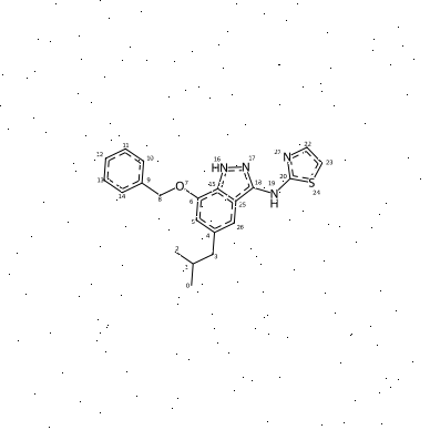 CC(C)Cc1cc(OCc2ccccc2)c2[nH]nc(Nc3nccs3)c2c1